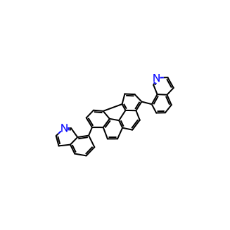 c1cc(-c2ccc3c4c2ccc2ccc5c(-c6cccc7ccncc67)ccc-3c5c24)c2cnccc2c1